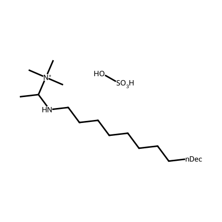 CCCCCCCCCCCCCCCCCCNC(C)[N+](C)(C)C.O=S(=O)(O)O